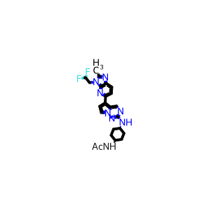 CC(=O)N[C@H]1CC[C@H](Nc2ncc3c(-c4ccc5nc(C)n(CC(F)F)c5n4)ccn3n2)CC1